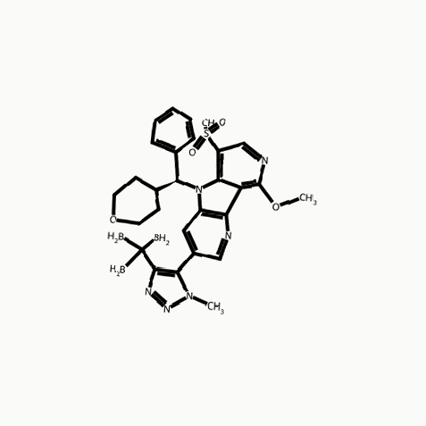 BC(B)(B)c1nnn(C)c1-c1cnc2c3c(OC)ncc(S(C)(=O)=O)c3n([C@H](c3ccccc3)C3CCOCC3)c2c1